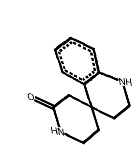 O=C1CC2(CCN1)CCNc1ccccc12